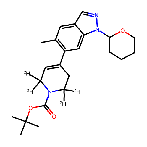 [2H]C1([2H])C=C(c2cc3c(cnn3C3CCCCO3)cc2C)CC([2H])([2H])N1C(=O)OC(C)(C)C